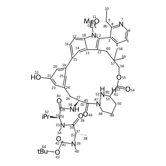 CCn1c(-c2cccnc2[C@@H](C)OC)c2c3cc(ccc31)-c1cc(O)cc(c1)C[C@H](NC(=O)[C@H](C(C)C)N(C)C(=O)[C@H](C)N(C)C(=O)OC(C)(C)C)C(=O)N1CCC[C@@H](N1)C(=O)OCC(C)(C)C2